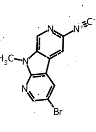 [C-]#[N+]c1cc2c3cc(Br)cnc3n(C)c2cn1